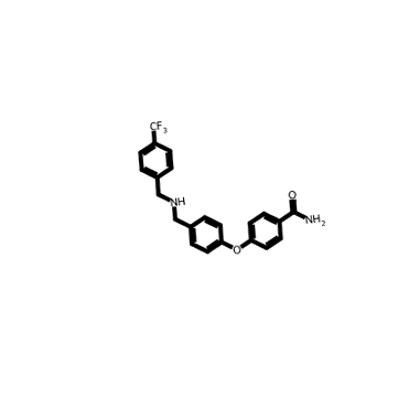 NC(=O)c1ccc(Oc2ccc(CNCc3ccc(C(F)(F)F)cc3)cc2)cc1